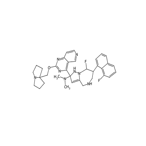 CN(C)C1(c2nc(OCC34CCCN3CCC4)nc3ccncc23)C=C2CNCC(c3cccc4cccc(F)c34)C(F)N2N1